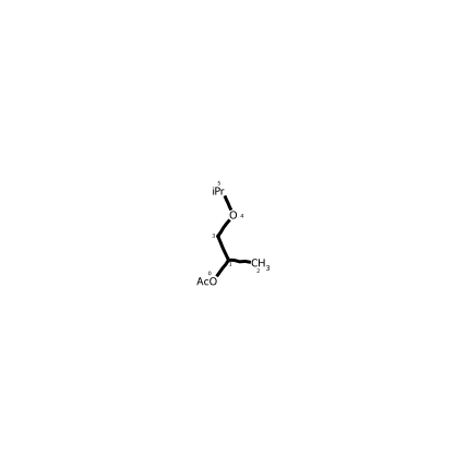 CC(=O)OC(C)COC(C)C